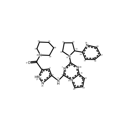 O=C(c1cc(Nc2nc(N3CCCC3c3ccccn3)nc3cccn23)n[nH]1)N1CCCCC1